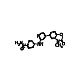 CN1C(=O)COc2ccc(-c3ccnc(Nc4ccc([S+](N)[O-])cc4)c3)cc21